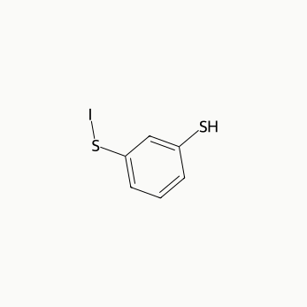 Sc1cccc(SI)c1